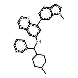 CC1CCC(C(Nc2cc(-c3ccc4ccn(C)c4c3)c3nccnc3c2)c2cccnc2)CC1